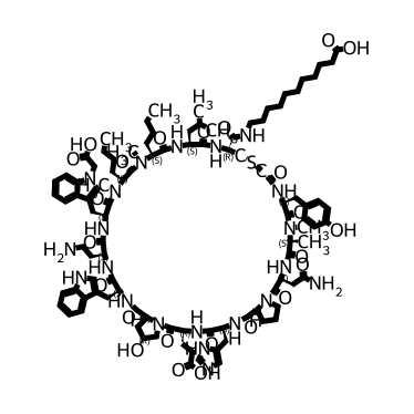 CCCC[C@H]1C(=O)N(C)[C@@H](CCCC)C(=O)N[C@@H](CC(C)C)C(=O)N[C@H](C(=O)NCCCCCCCCCCC(=O)O)CSCC(=O)N[C@@H](Cc2ccc(O)cc2)C(=O)N(C)[C@@H](C)C(=O)N[C@@H](CC(N)=O)C(=O)N2CCC[C@H]2C(=O)N[C@@H](Cc2cnc[nH]2)C(=O)N[C@H](CCC(=O)O)C(=O)N2C[C@H](O)C[C@H]2C(=O)N[C@@H](Cc2c[nH]c3ccccc23)C(=O)N[C@@H](CCN)C(=O)N[C@@H](Cc2cn(CC(=O)O)c3ccccc23)C(=O)N1C